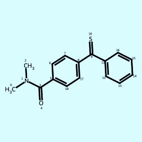 CN(C)C(=O)c1ccc(C(=S)c2ccccc2)cc1